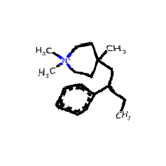 CCC(CC1(C)CC[N+](C)(C)CC1)c1ccccc1